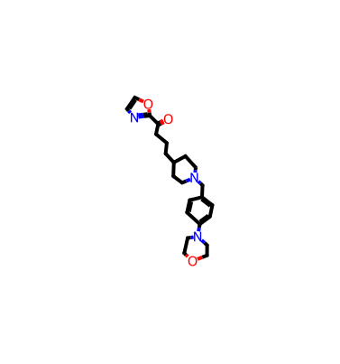 O=C(CCCC1CCN(Cc2ccc(N3CCOCC3)cc2)CC1)c1ncco1